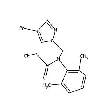 Cc1cccc(C)c1N(Cn1cc(C(C)C)cn1)C(=O)CCl